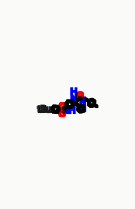 Cc1ccc(CNC(=O)c2[nH]c3ccc(NS(=O)(=O)c4ccc(C(C)(C)C)cc4)cc3c2-c2ccccc2)cc1